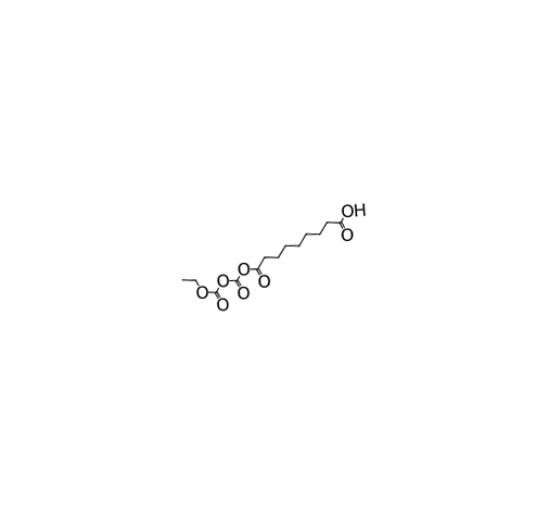 CCOC(=O)OC(=O)OC(=O)CCCCCCCC(=O)O